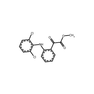 COC(=O)C(=O)c1ccccc1Nc1c(Cl)cccc1Cl